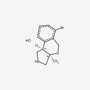 C[C@]12CNC[C@H]1c1cccc(Br)c1CO2.Cl